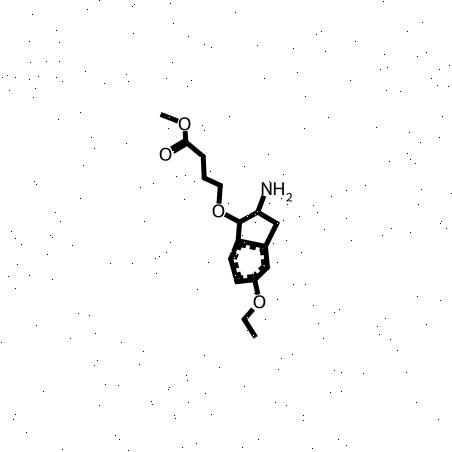 CCOc1ccc2c(c1)CC(N)C2OCCCC(=O)OC